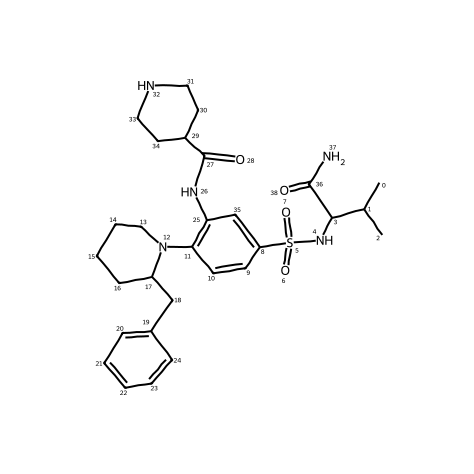 CC(C)C(NS(=O)(=O)c1ccc(N2CCCCC2Cc2ccccc2)c(NC(=O)C2CCNCC2)c1)C(N)=O